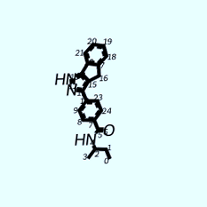 CCC(C)NC(=O)c1ccc(-c2n[nH]c3c2Cc2ccccc2-3)cc1